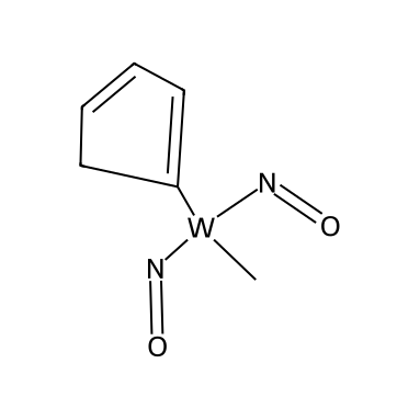 [CH3][W]([N]=O)([N]=O)[C]1=CC=CC1